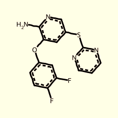 Nc1ncc(Sc2ncccn2)cc1Oc1ccc(F)c(F)c1